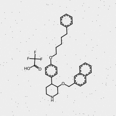 O=C(O)C(F)(F)F.c1ccc(CCCCCOc2ccc(C3CCNCC3OCc3ccc4ccccc4c3)cc2)cc1